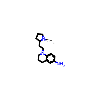 CN1CCCC1CCN1CCCc2cc(N)ccc21